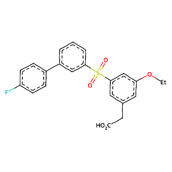 CCOc1cc(CC(=O)O)cc(S(=O)(=O)c2cccc(-c3ccc(F)cc3)c2)c1